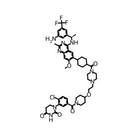 COc1cc2nc(C)nc(N[C@H](C)c3cc(N)cc(C(F)(F)F)c3)c2cc1C1CCC(C(=O)N2CCN(CCOC3CCN(C(=O)c4ccc(Cl)c(N5CCC(=O)NC5=O)c4)CC3)CC2)CC1